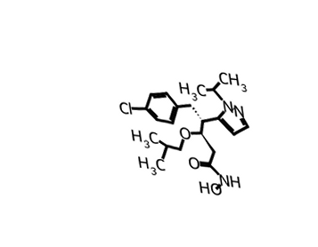 CC(C)CO[C@H](CC(=O)NO)[C@H](Cc1ccc(Cl)cc1)c1ccnn1C(C)C